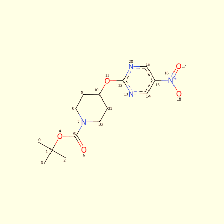 CC(C)(C)OC(=O)N1CCC(Oc2ncc([N+](=O)[O-])cn2)CC1